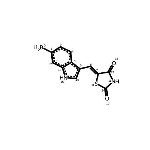 Bc1ccc2c(/C=C3\SC(=O)NC3=O)c[nH]c2c1